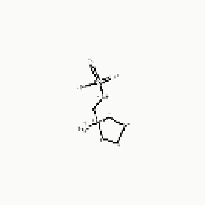 C[N+]1(CNS(=O)(=O)F)CCCC1